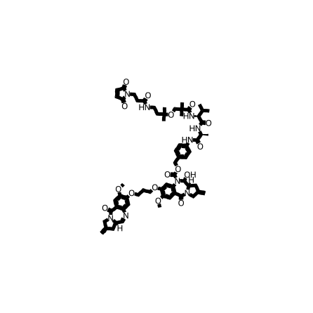 C=C1C[C@H]2C=Nc3cc(OCCCOc4cc5c(cc4OC)C(=O)N4CC(=C)C[C@H]4C(O)N5C(=O)OCc4ccc(NC(=O)[C@H](C)NC(=O)[C@@H](NC(=O)C(C)(C)COC(C)(C)CCNC(=O)CCN5C(=O)C=CC5=O)C(C)C)cc4)c(OC)cc3C(=O)N2C1